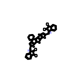 O=C1C(=O)c2ccccc2/C1=C/c1cc2c(s1)-c1sc3c(sc4cc(/C=C5\C(=O)C(=O)c6ccccc65)sc43)c1C21CCCCC1